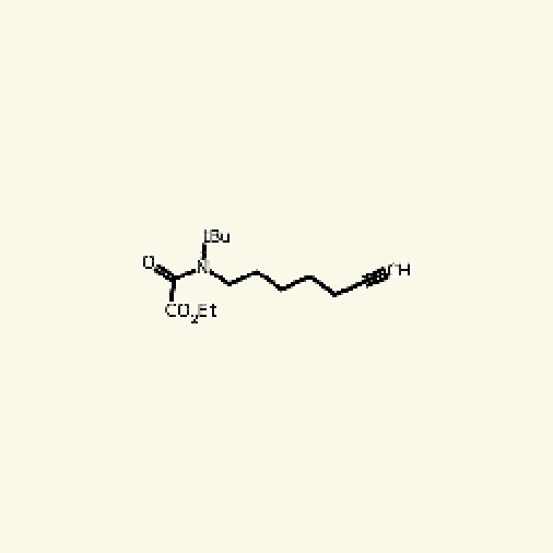 C#CCCCCCN(C(=O)C(=O)OCC)C(C)(C)C